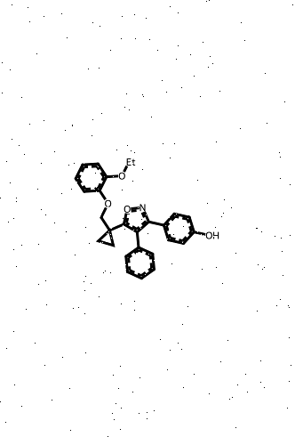 CCOc1ccccc1OCC1(c2onc(-c3ccc(O)cc3)c2-c2ccccc2)CC1